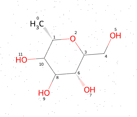 C[C@@H]1OC(CO)[C@H](O)C(O)C1O